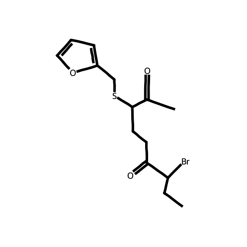 CCC(Br)C(=O)CCC(SCc1ccco1)C(C)=O